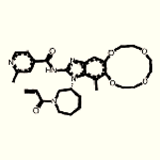 C=CC(=O)N1CCCC[C@@H](n2c(NC(=O)c3ccnc(C)c3)nc3cc4c(c(C)c32)OCCOCCOCCO4)C1